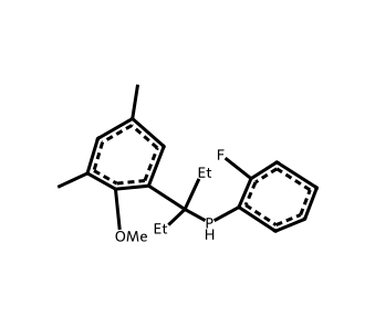 CCC(CC)(Pc1ccccc1F)c1cc(C)cc(C)c1OC